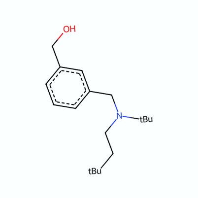 CC(C)(C)CCN(Cc1cccc(CO)c1)C(C)(C)C